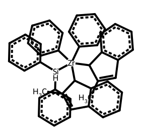 CC1=Cc2ccccc2[CH]1[Zr]([c]1ccccc1)([c]1ccccc1)([CH]1C(C)=Cc2ccccc21)[SiH](c1ccccc1)c1ccccc1